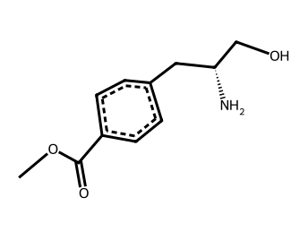 COC(=O)c1ccc(C[C@@H](N)CO)cc1